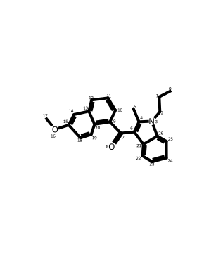 CCCn1c(C)c(C(=O)c2cccc3cc(OC)ccc23)c2ccccc21